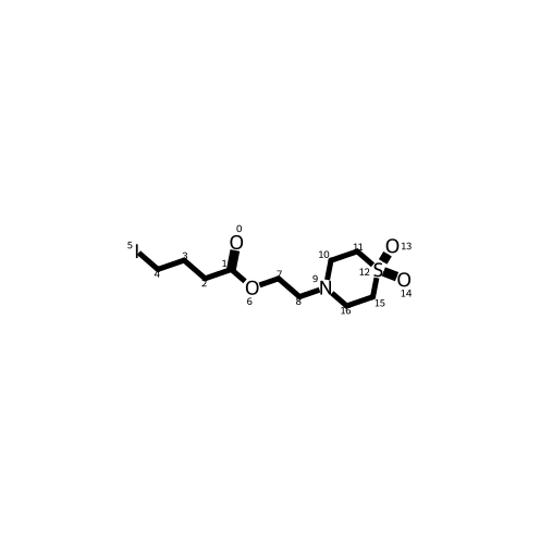 O=C(CCCI)OCCN1CCS(=O)(=O)CC1